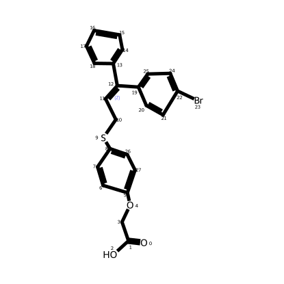 O=C(O)COc1ccc(SC/C=C(/c2ccccc2)c2ccc(Br)cc2)cc1